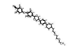 CCOCCOCCCC1CCC(c2ccc(C3COC(c4cc(F)c(COc5cc(F)c(C#N)c(F)c5)c(F)c4)OC3)cc2)SC1